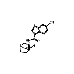 N#Cc1ccc2c(C(=O)N[C@H]3CN4CCC3CC4)nsc2c1